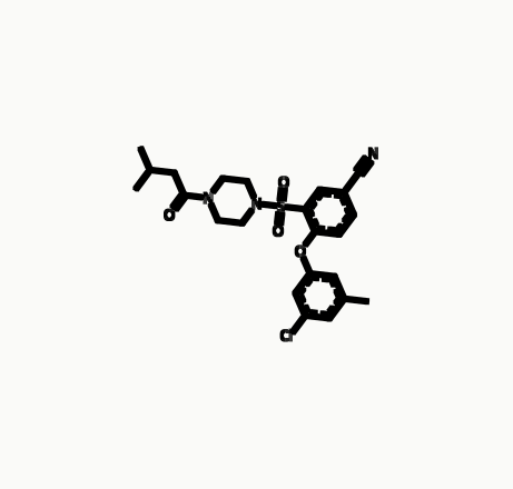 Cc1cc(Cl)cc(Oc2ccc(C#N)cc2S(=O)(=O)N2CCN(C(=O)CC(C)C)CC2)c1